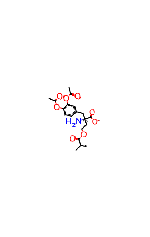 COC(=O)[C@@](N)(CCOC(=O)C(C)C)Cc1ccc(OC(C)=O)c(OC(C)=O)c1